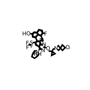 C#Cc1c(F)ccc2cc(O)cc(-c3c(SC(F)(F)F)cc4c(N5CC6CCC(C5)N6)nc(OCC5(CN6CC7(CC(OC)C7)C6)CC5)nc4c3F)c12